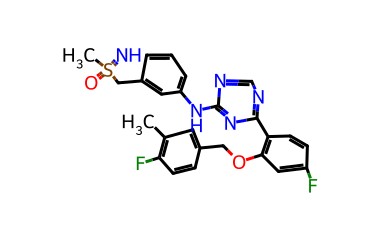 Cc1cc(COc2cc(F)ccc2-c2ncnc(Nc3cccc(CS(C)(=N)=O)c3)n2)ccc1F